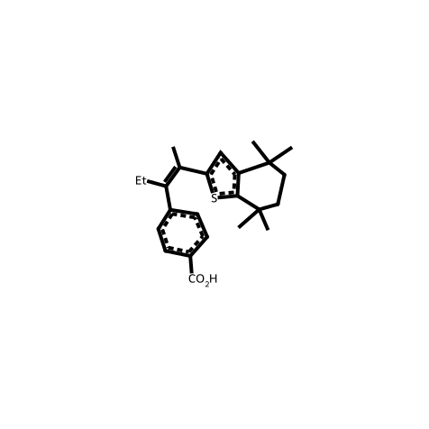 CCC(=C(C)c1cc2c(s1)C(C)(C)CCC2(C)C)c1ccc(C(=O)O)cc1